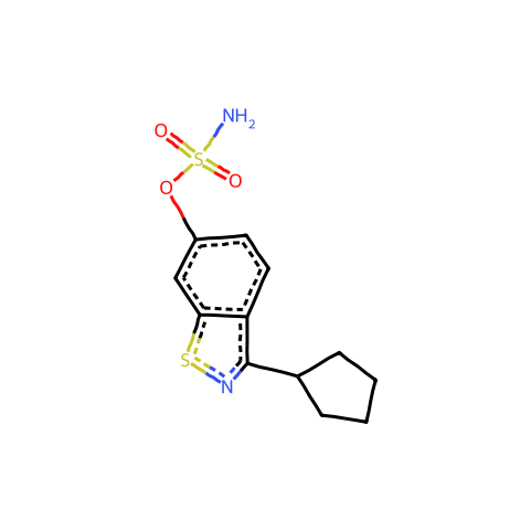 NS(=O)(=O)Oc1ccc2c(C3CCCC3)nsc2c1